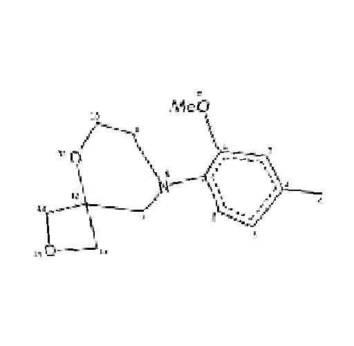 COc1cc(C)ccc1N1CCOC2(COC2)C1